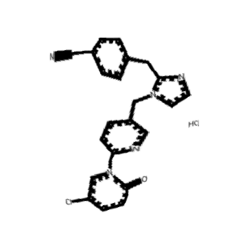 Cl.N#Cc1ccc(Cc2nccn2Cc2ccc(-n3cc(Cl)ccc3=O)nc2)cc1